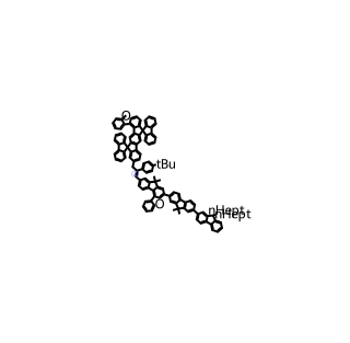 CCCCCCCC1(CCCCCCC)c2ccccc2-c2ccc(-c3ccc4c(c3)C(C)(C)c3cc(-c5cc6c(c7c5oc5ccccc57)-c5ccc(/C=C(/Cc7ccc8c(c7)C7(c9ccccc9-c9ccccc97)c7cc9c(cc7-8)C7(c8ccccc8-c8ccccc87)c7ccc8oc%10ccccc%10c8c7-9)c7ccc(C(C)(C)C)cc7)cc5C6(C)C)ccc3-4)cc21